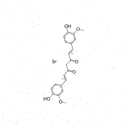 COc1cc(/C=C/C(=O)CC(=O)/C=C/c2ccc(O)c(OC)c2)ccc1O.[Sr]